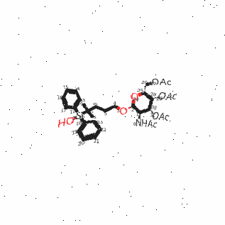 CC(=O)N[C@H]1[C@H](OCCCC(C)(C)[Si](O)(c2ccccc2)c2ccccc2)O[C@H](COC(C)=O)[C@H](OC(C)=O)[C@@H]1OC(C)=O